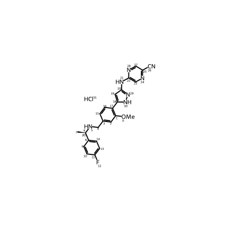 COc1cc(CN[C@H](C)c2ccc(F)cc2)ccc1-c1cc(Nc2cnc(C#N)cn2)n[nH]1.Cl